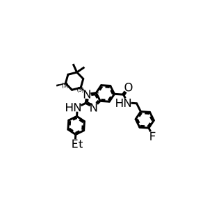 CCc1ccc(Nc2nc3cc(C(=O)NCc4ccc(F)cc4)ccc3n2[C@H]2C[C@@H](C)CC(C)(C)C2)cc1